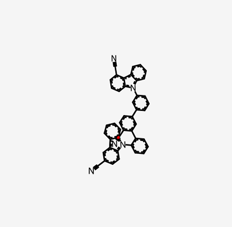 N#Cc1ccc2c(c1)c1ccccc1n2-c1ccccc1-c1cc(-c2cccc(-n3c4ccccc4c4c(C#N)cccc43)c2)ccc1C#N